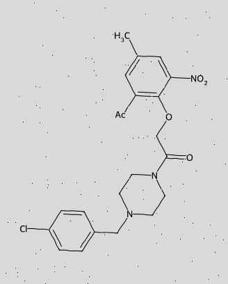 CC(=O)c1cc(C)cc([N+](=O)[O-])c1OCC(=O)N1CCN(Cc2ccc(Cl)cc2)CC1